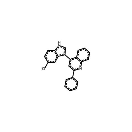 Clc1ccc2[nH]cc(-c3cc(-c4ccccc4)nc4ccccc34)c2c1